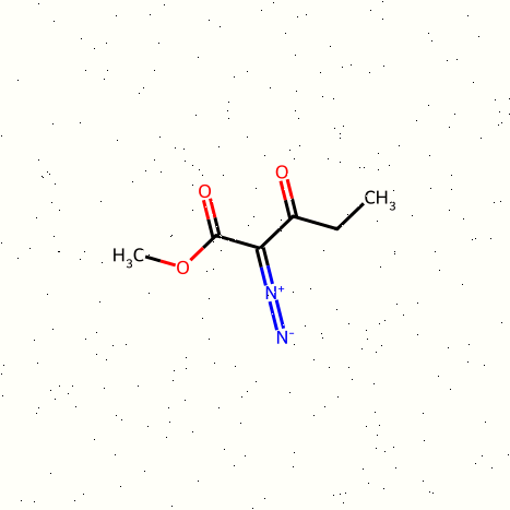 CCC(=O)C(=[N+]=[N-])C(=O)OC